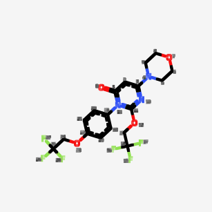 O=c1cc(N2CCOCC2)nc(OCC(F)(F)F)n1-c1ccc(OCC(F)(F)F)cc1